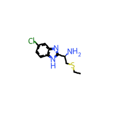 CCSC[C@H](N)c1nc2cc(Cl)ccc2[nH]1